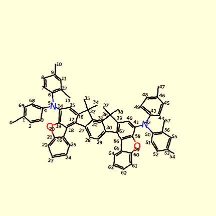 Cc1ccc(N(c2ccc(C)cc2C)c2cc3c(c4c2oc2ccccc24)-c2ccc4c(c2C3(C)C)C(C)(C)c2cc(N(c3ccc(C)cc3)c3ccc(C)cc3C)c3oc5ccccc5c3c2-4)cc1